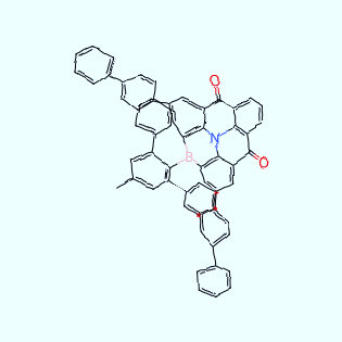 Cc1cc(-c2ccccc2)c(B2c3cc(-c4ccc(-c5ccccc5)cc4)cc4c(=O)c5cccc6c(=O)c7cc(-c8ccc(-c9ccccc9)cc8)cc2c7n(c34)c56)c(-c2ccccc2)c1